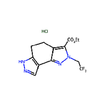 CCOC(=O)c1c2c(nn1CC(F)(F)F)-c1cn[nH]c1CC2.Cl